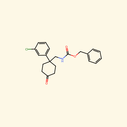 O=C1CCC(CNC(=O)OCc2ccccc2)(c2cccc(Cl)c2)CC1